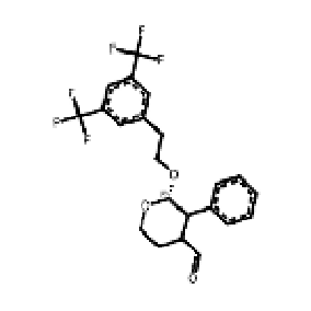 O=CC1CCO[C@H](OCCc2cc(C(F)(F)F)cc(C(F)(F)F)c2)C1c1ccccc1